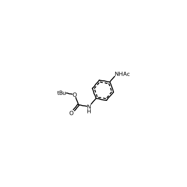 CC(=O)Nc1ccc(NC(=O)OC(C)(C)C)cc1